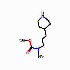 CCCN(CCCC1CCNCC1)C(=O)OC(C)(C)C